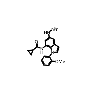 CCCNc1cc(NC(=O)C2CC2)c2c(ccn2-c2ccccc2OC)c1